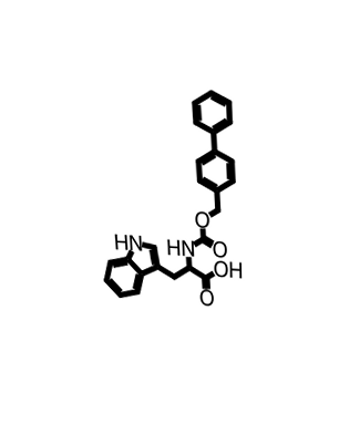 O=C(NC(Cc1c[nH]c2ccccc12)C(=O)O)OCc1ccc(-c2ccccc2)cc1